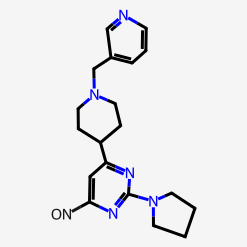 O=Nc1cc(C2CCN(Cc3cccnc3)CC2)nc(N2CCCC2)n1